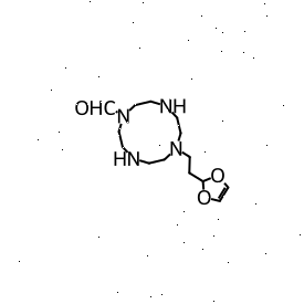 O=CN1CCNCCN(CCC2OC=CO2)CCNCC1